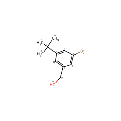 CC(C)(C)c1cc(Br)cc(CO)c1